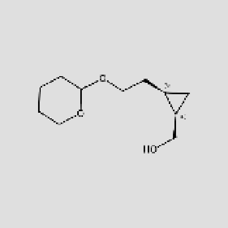 OC[C@@H]1C[C@@H]1CCOC1CCCCO1